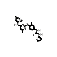 Cc1cc(Nc2cc(C)nc(Sc3ccc(NC(=O)Nc4ccco4)cc3C)n2)[nH]n1